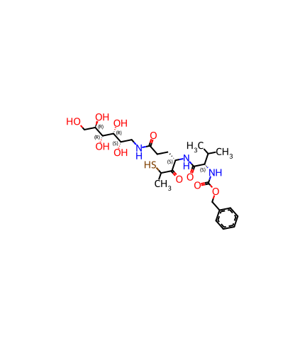 CC(S)C(=O)[C@H](CCC(=O)NC[C@H](O)[C@@H](O)[C@H](O)[C@H](O)CO)NC(=O)[C@@H](NC(=O)OCc1ccccc1)C(C)C